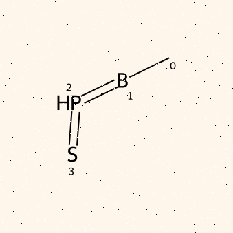 CB=[PH]=S